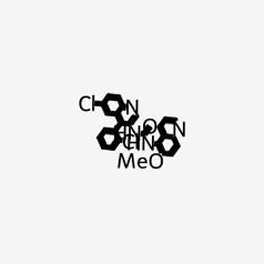 COc1ccc2ncccc2c1NC(=O)Nc1cnc2ccc(Cl)cc2c1-c1ccccc1Cl